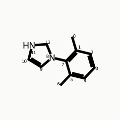 Cc1cccc(C)c1N1C=CNC1